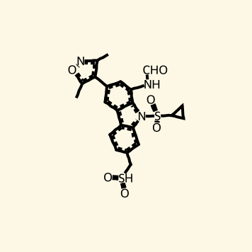 Cc1noc(C)c1-c1cc(NC=O)c2c(c1)c1ccc(C[SH](=O)=O)cc1n2S(=O)(=O)C1CC1